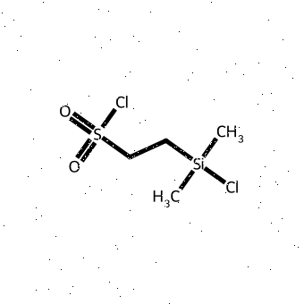 C[Si](C)(Cl)CCS(=O)(=O)Cl